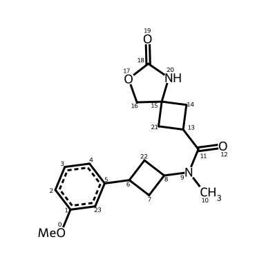 COc1cccc(C2CC(N(C)C(=O)C3CC4(COC(=O)N4)C3)C2)c1